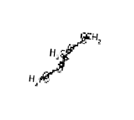 C=CC(=O)OCCCCCCOc1ccc(-c2ccc(-c3ccc(OCCCCCCOC(=O)C=C)cc3)c(C)c2)cc1